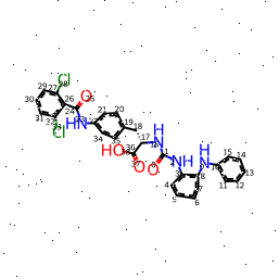 O=C(Nc1ccccc1Nc1ccccc1)N[C@@H](Cc1ccc(NC(=O)c2c(Cl)cccc2Cl)cc1)C(=O)O